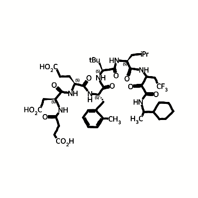 Cc1ccccc1C[C@H](NC(=O)[C@H](CCC(=O)O)NC(=O)[C@H](CC(=O)O)NC(=O)CCC(=O)O)C(=O)N[C@H](C(=O)N[C@@H](CC(C)C)C(=O)NC(CC(F)(F)F)C(=O)C(=O)NC(C)C1CCCCC1)C(C)(C)C